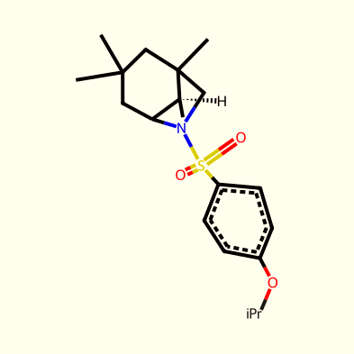 CC(C)Oc1ccc(S(=O)(=O)N2CC3(C)CC(C)(C)CC2[C@@H]3C)cc1